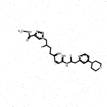 CNC(=O)c1cn(CC(F)CCC(=N)/C=C\C(=N)NC(=O)Cc2cc(C3CCOCC3)ccn2)nn1